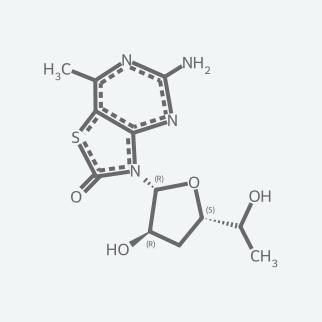 Cc1nc(N)nc2c1sc(=O)n2[C@@H]1O[C@H](C(C)O)C[C@H]1O